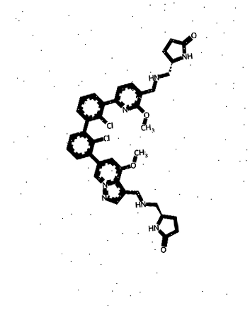 COc1nc(-c2cccc(-c3cccc(-c4cc(OC)c5c(CNC[C@H]6CCC(=O)N6)cnn5c4)c3Cl)c2Cl)ccc1CNC[C@@H]1CCC(=O)N1